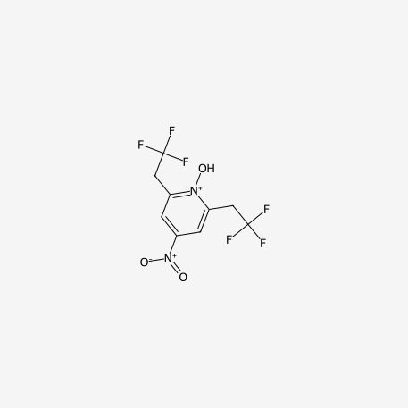 O=[N+]([O-])c1cc(CC(F)(F)F)[n+](O)c(CC(F)(F)F)c1